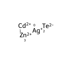 [Ag+].[Cd+2].[Te-2].[Zn+2]